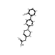 O=C(O)CC1=CCN(c2ncc(-c3ccccc3F)cn2)CC1